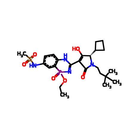 CCOP1(=O)N=C(C2=C(O)[C@H](C3CCC3)N(CCC(C)(C)C)C2=O)Nc2ccc(NS(C)(=O)=O)cc21